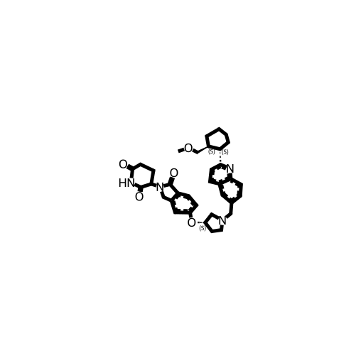 COC[C@H]1CCCC[C@@H]1c1ccc2cc(CN3CC[C@H](Oc4ccc5c(c4)CN(C4CCC(=O)NC4=O)C5=O)C3)ccc2n1